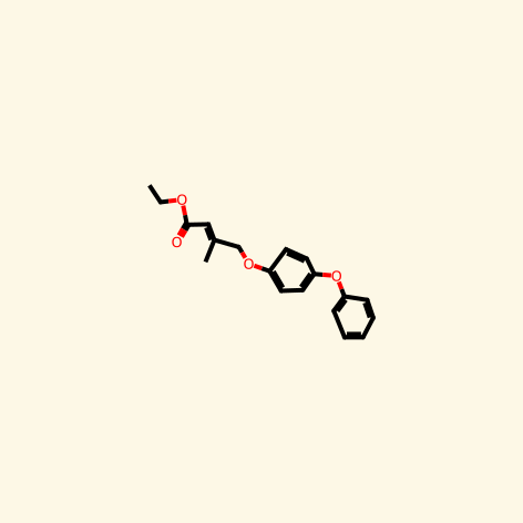 CCOC(=O)/C=C(\C)COc1ccc(Oc2ccccc2)cc1